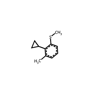 CSc1cccc(C)c1C1CC1